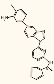 Cc1ccc(-c2ccc3c(c2)ncn3-c2ccnc(N[C@@H](C)c3ccccc3)n2)cc1N